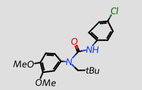 COc1ccc(N(CC(C)(C)C)C(=O)Nc2ccc(Cl)cc2)cc1OC